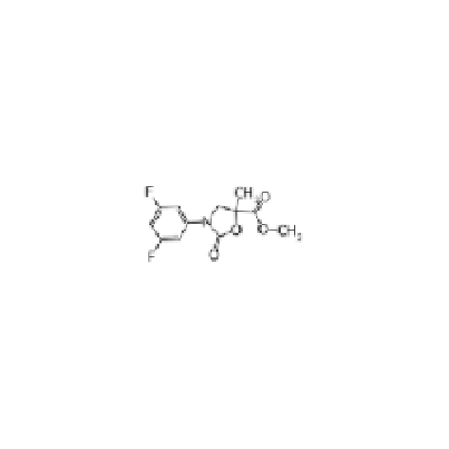 COC(=O)C1(C)CN(c2cc(F)cc(F)c2)C(=O)O1